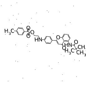 Cc1ccc(S(=O)(=O)OCCNc2ccc(-c3cc(=O)c4c(NC(=O)C(C)(C)C)cccc4o3)cc2)cc1